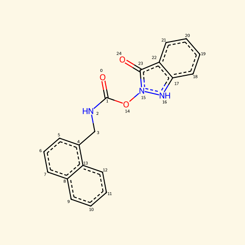 O=C(NCc1cccc2ccccc12)On1[nH]c2ccccc2c1=O